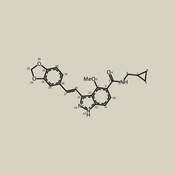 COc1c(C(=O)NCC2CC2)ccc2[nH]nc(C=Cc3ccc4c(c3)OCO4)c12